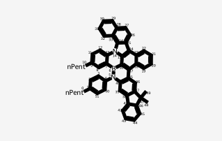 CCCCCc1ccc(N2B3c4cc(CCCCC)ccc4-n4c5c3c(c3ccccc3c5c3ccc5ccccc5c34)-c3cc4c(cc32)-c2ccccc2C4(C)C)cc1